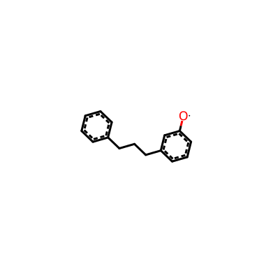 [O]c1cccc(CCCc2ccccc2)c1